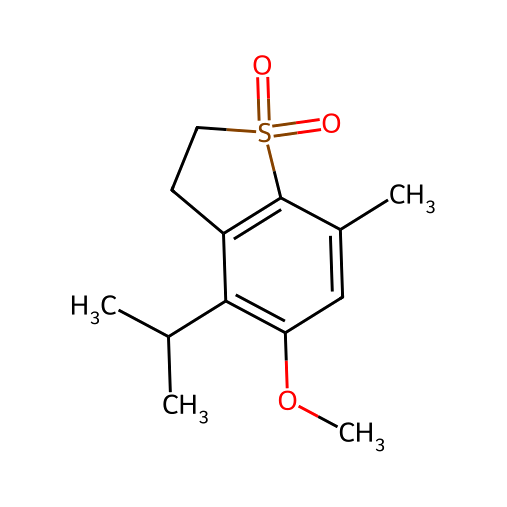 COc1cc(C)c2c(c1C(C)C)CCS2(=O)=O